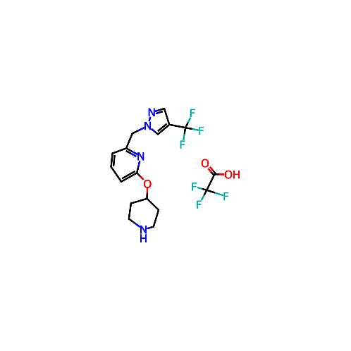 FC(F)(F)c1cnn(Cc2cccc(OC3CCNCC3)n2)c1.O=C(O)C(F)(F)F